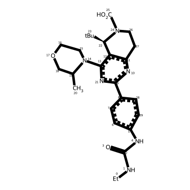 CCNC(=O)Nc1ccc(-c2nc3c(c(N4CCOCC4C)n2)[C@@H](C(C)(C)C)N(C(=O)O)CC3)cc1